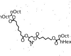 CCCCCCCCC(CCCCCCCC)OC(=O)CCCCCCC(=O)OC(COC(=O)CCCCCOC(=O)C(CCCCCC)CCCCCCCC)CN(C)C